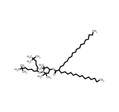 CCCCCCCCCCCCCCCCCC(CCCCCCCCCCCCCC)C(=O)OC1CC(C)(C)N(OC(CCCCC(C)(C)C)CCCC(C)(C)C)C(C)(C)C1